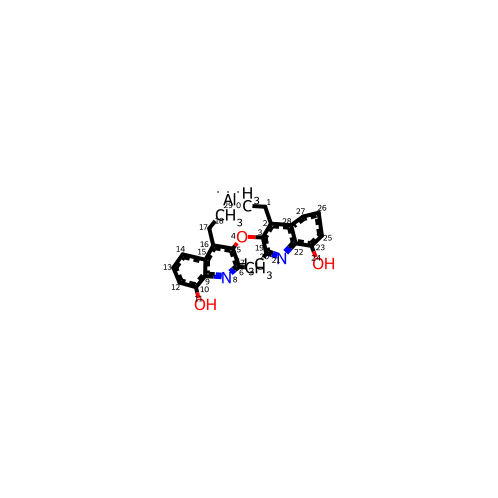 CCc1c(Oc2c(C)nc3c(O)cccc3c2CC)c(C)nc2c(O)cccc12.[Al]